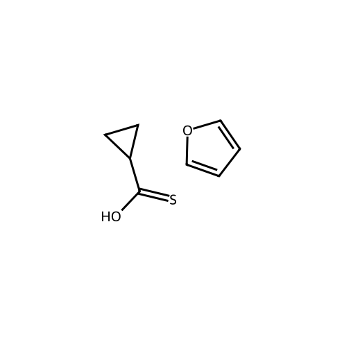 OC(=S)C1CC1.c1ccoc1